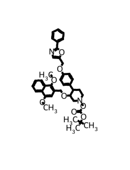 COc1cc(COC2CN(OC(=O)OC(C)(C)C)CCC2c2ccc(OCc3cnc(-c4ccccc4)o3)cc2)c(OC)c2ccccc12